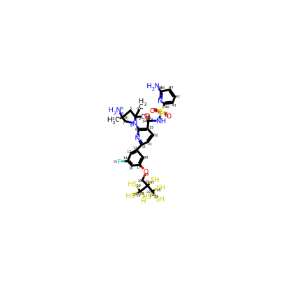 CC1(C)C[C@@](C)(N)CN1c1nc(-c2cc(F)cc(OCC(S)(C(S)(S)S)C(S)(S)S)c2)ccc1C(=O)NS(=O)(=O)c1cccc(N)n1